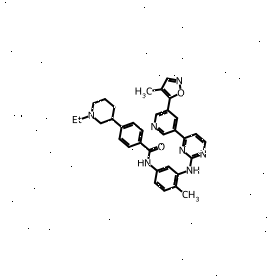 CCN1CCCC(c2ccc(C(=O)Nc3ccc(C)c(Nc4nccc(-c5cncc(-c6oncc6C)c5)n4)c3)cc2)C1